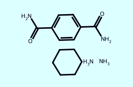 C1CCCCC1.N.N.NC(=O)c1ccc(C(N)=O)cc1